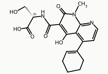 Cn1c(=O)c(C(=O)N[C@@H](CO)C(=O)O)c(O)c2c(C3=CCCCC3)ccnc21